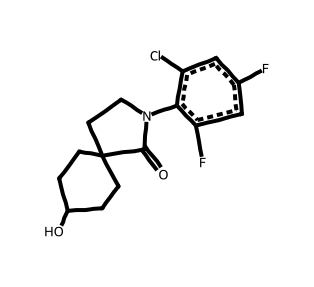 O=C1N(c2c(F)cc(F)cc2Cl)CCC12CCC(O)CC2